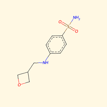 NS(=O)(=O)c1ccc(NCC2COC2)cc1